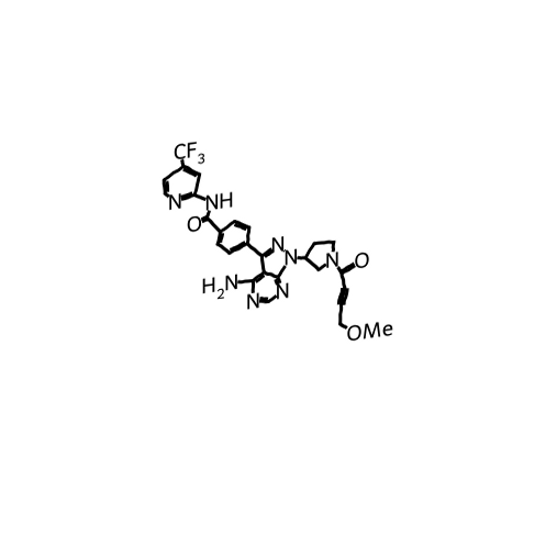 COCC#CC(=O)N1CCC(n2nc(-c3ccc(C(=O)Nc4cc(C(F)(F)F)ccn4)cc3)c3c(N)ncnc32)C1